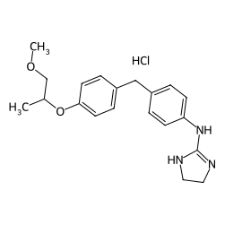 COCC(C)Oc1ccc(Cc2ccc(NC3=NCCN3)cc2)cc1.Cl